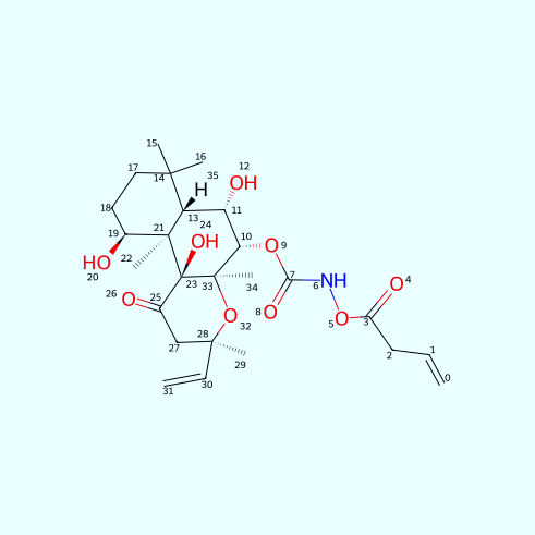 C=CCC(=O)ONC(=O)O[C@H]1[C@@H](O)[C@H]2C(C)(C)CC[C@H](O)[C@]2(C)[C@@]2(O)C(=O)C[C@](C)(C=C)O[C@]12C